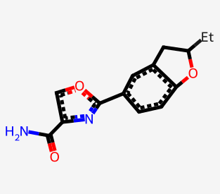 CCC1Cc2cc(-c3nc(C(N)=O)co3)ccc2O1